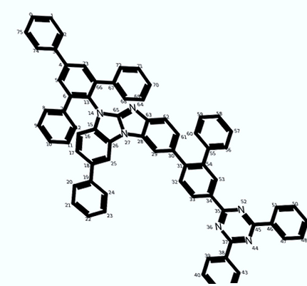 c1ccc(-c2cc(-c3ccccc3)c(-n3c4ccc(-c5ccccc5)cc4n4c5cc(-c6ccc(-c7nc(-c8ccccc8)nc(-c8ccccc8)n7)cc6-c6ccccc6)ccc5nc34)c(-c3ccccc3)c2)cc1